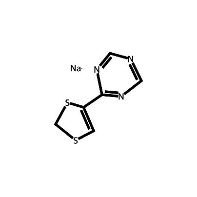 C1=C(c2ncncn2)SCS1.[Na]